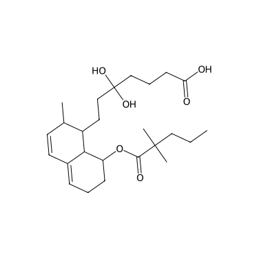 CCCC(C)(C)C(=O)OC1CCC=C2C=CC(C)C(CCC(O)(O)CCCC(=O)O)C21